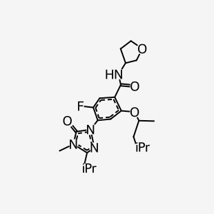 CC(C)CC(C)Oc1cc(-n2nc(C(C)C)n(C)c2=O)c(F)cc1C(=O)NC1CCOC1